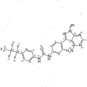 CC(C)n1nc(-c2ccc(NC(=O)Nc3ccc(C(F)(F)C(F)(F)C(F)(F)F)cc3)cc2)c2c(N)ncnc21